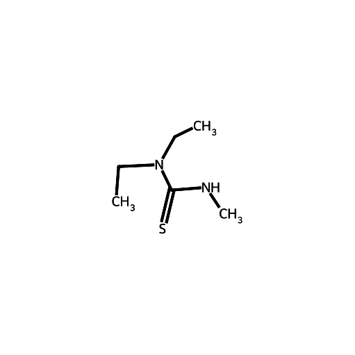 CCN(CC)C(=S)NC